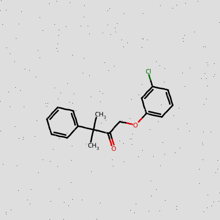 CC(C)(C(=O)COc1cccc(Cl)c1)c1ccccc1